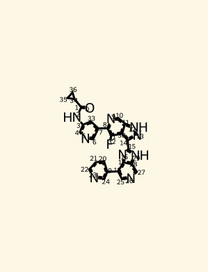 O=C(Nc1cncc(-c2ncc3[nH]nc(-c4nc5c(-c6cccnc6)cncc5[nH]4)c3c2F)c1)C1CC1